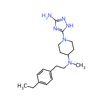 CCc1ccc(CCN(C)C2CCN(c3nc(N)n[nH]3)CC2)cc1